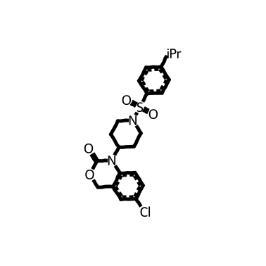 CC(C)c1ccc(S(=O)(=O)N2CCC(N3C(=O)OCc4cc(Cl)ccc43)CC2)cc1